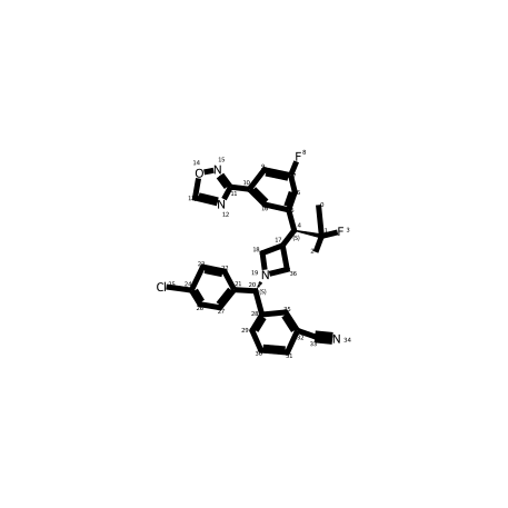 CC(C)(F)[C@H](c1cc(F)cc(-c2ncon2)c1)C1CN([C@@H](c2ccc(Cl)cc2)c2cccc(C#N)c2)C1